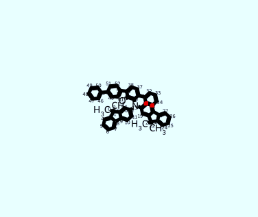 CC1(C)c2ccccc2-c2ccc(N(c3ccc4c(c3)C(C)(C)c3ccccc3-4)c3c(-c4ccccc4)ccc4c3oc3cc(-c5ccccc5)ccc34)cc21